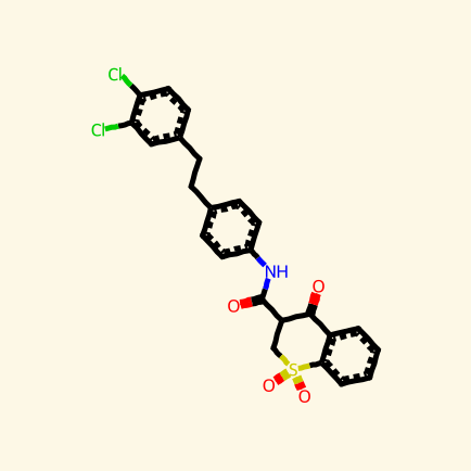 O=C(Nc1ccc(CCc2ccc(Cl)c(Cl)c2)cc1)C1CS(=O)(=O)c2ccccc2C1=O